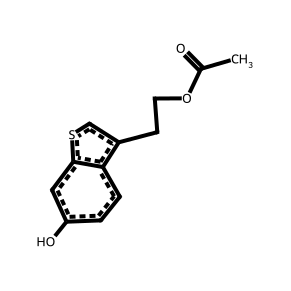 CC(=O)OCCc1csc2cc(O)ccc12